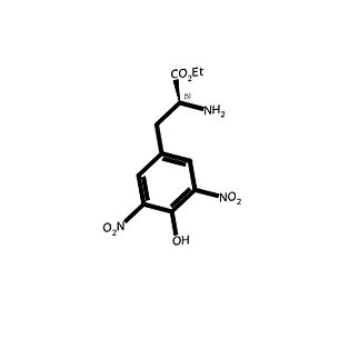 CCOC(=O)[C@@H](N)Cc1cc([N+](=O)[O-])c(O)c([N+](=O)[O-])c1